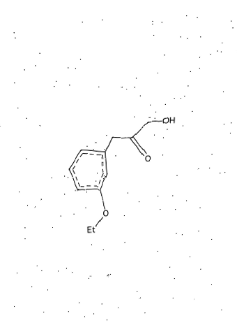 CCOc1[c]ccc(CC(=O)CO)c1